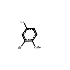 CCCc1ccc(OC)c(CC)c1